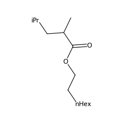 CCCCCCCCOC(=O)C(C)CC(C)C